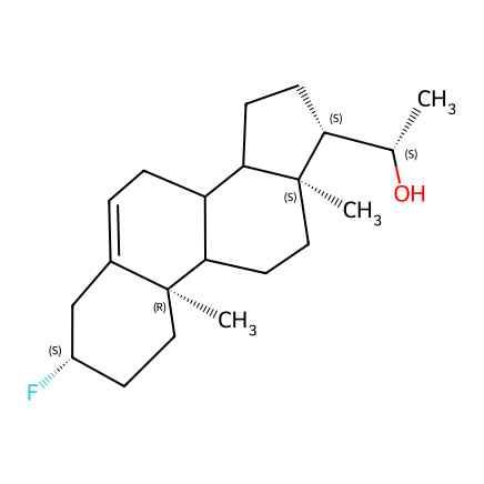 C[C@H](O)[C@H]1CCC2C3CC=C4C[C@@H](F)CC[C@]4(C)C3CC[C@@]21C